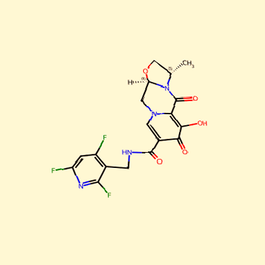 C[C@H]1CO[C@@H]2Cn3cc(C(=O)NCc4c(F)cc(F)nc4F)c(=O)c(O)c3C(=O)N12